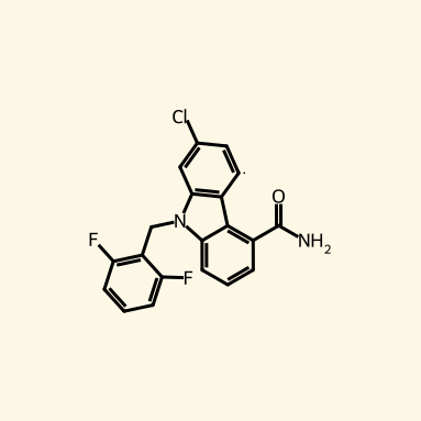 NC(=O)c1cccc2c1c1[c]cc(Cl)cc1n2Cc1c(F)cccc1F